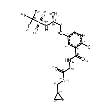 C[C@@H](COc1cnc(Cl)c(C(=O)NCC(=O)NCC2CC2)c1)NS(=O)(=O)C(F)(F)F